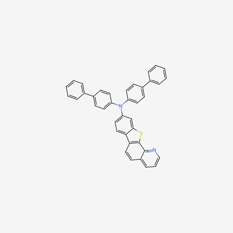 c1ccc(-c2ccc(N(c3ccc(-c4ccccc4)cc3)c3ccc4c(c3)sc3c4ccc4cccnc43)cc2)cc1